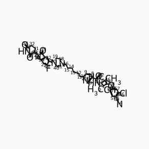 CC1(C)[C@H](NC(=O)c2ccc(CCCCCCN3CCN(c4cc5c(cc4F)CN([C@H]4CCC(=O)NC4=O)C5=O)CC3)nc2)C(C)(C)[C@H]1Oc1ccc(C#N)c(Cl)c1